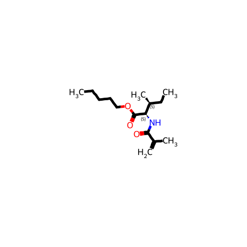 C=C(C)C(=O)N[C@H](C(=O)OCCCCC)[C@@H](C)CC